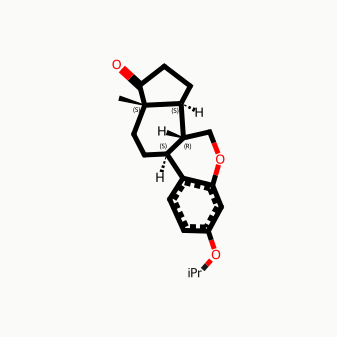 CC(C)Oc1ccc2c(c1)OC[C@@H]1[C@@H]2CC[C@]2(C)C(=O)CC[C@@H]12